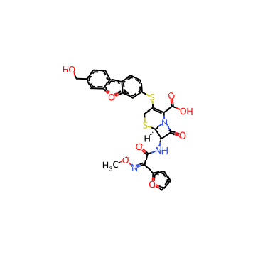 CO/N=C(\C(=O)N[C@@H]1C(=O)N2C(C(=O)O)=C(Sc3ccc4c(c3)oc3cc(CO)ccc34)CS[C@H]12)c1ccco1